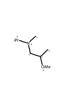 COC(C)CN(C)C(C)C